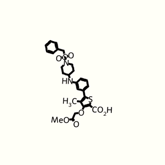 COC(=O)COc1c(C(=O)O)sc(-c2cccc(NC3CCN(S(=O)(=O)Cc4ccccc4)CC3)c2)c1C